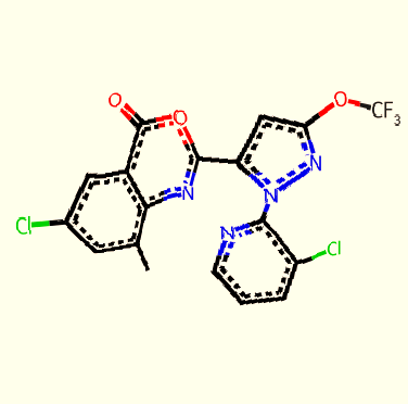 Cc1cc(Cl)cc2c(=O)oc(-c3cc(OC(F)(F)F)nn3-c3ncccc3Cl)nc12